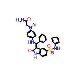 CC(=O)N(CC(N)=O)c1ccc(N/C(=C2\C(=O)Nc3ccc(S(=O)(=O)Nc4ccccc4)cc32)c2ccccc2)cc1